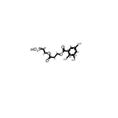 O=C(CCOC(=O)c1cc(I)cc(I)c1I)OCCS(=O)(=O)O